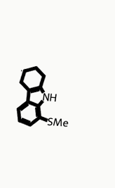 CSc1cccc2c3c([nH]c12)CC[CH]C3